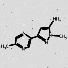 Cc1cnc(-c2cc(N)n(C)n2)cn1